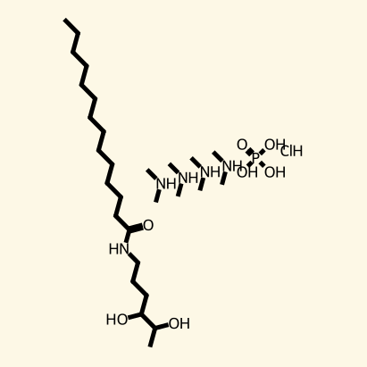 CCCCCCCCCCCCCC(=O)NCCCC(O)C(C)O.CNC.CNC.CNC.CNC.Cl.O=P(O)(O)O